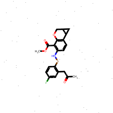 COC(=O)c1c(NSc2ccc(F)cc2CC(C)=O)ccc2c1OCC1CC21